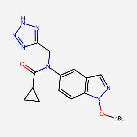 CCCCOn1ncc2cc(N(Cc3nn[nH]n3)C(=O)C3CC3)ccc21